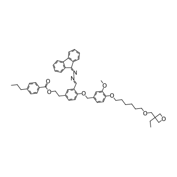 CCCc1ccc(C(=O)OCCc2ccc(OCc3ccc(OCCCCCCOCC4(CC)COC4)c(OC)c3)c(/C=N/N=C3c4ccccc4-c4ccccc43)c2)cc1